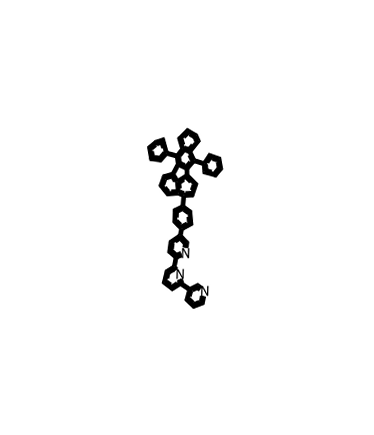 c1ccc(-c2c3c(c(-c4ccccc4)c4ccccc24)-c2ccc(-c4ccc(-c5ccc(-c6cccc(-c7cccnc7)n6)nc5)cc4)c4cccc-3c24)cc1